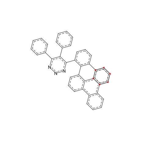 c1ccc(-c2cccc(-c3nnnc(-c4ccccc4)c3-c3ccccc3)c2-c2cccc3c4ccccc4c4ccccc4c23)cc1